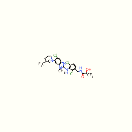 Cn1c(Nc2c(Cl)ccc(CNC(=O)C(O)C(F)(F)F)c2Cl)nc2cc(Cl)c(N3CCCC(C(F)(F)F)C3)cc21